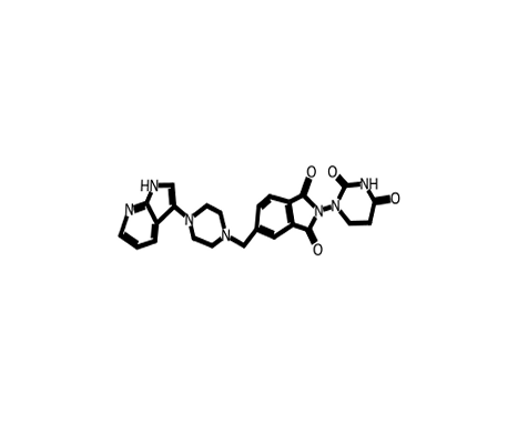 O=C1CCN(N2C(=O)c3ccc(CN4CCN(c5c[nH]c6ncccc56)CC4)cc3C2=O)C(=O)N1